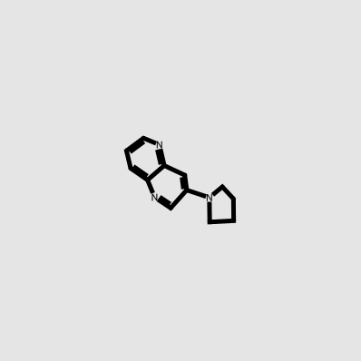 c1cnc2cc(N3CCCC3)cnc2c1